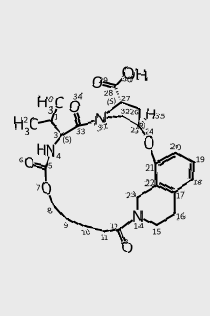 CC(C)[C@@H]1NC(=O)OCCCCC(=O)N2CCc3cccc(c3C2)O[C@@H]2C[C@@H](C(=O)O)N(C2)C1=O